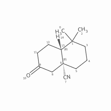 CC1(C)CCC[C@@]2(C#N)CC(=O)CC[C@H]12